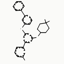 FC1(F)CCC(Nc2nc(Nc3ccnc(-c4ccccc4)c3)nc(-c3cccc(Cl)n3)n2)CC1